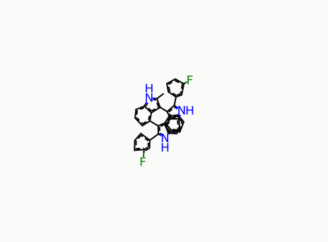 Cc1[nH]c2cccc(-c3c(-c4cccc(F)c4)[nH]c4ccccc34)c2c1-c1c(-c2cccc(F)c2)[nH]c2ccccc12